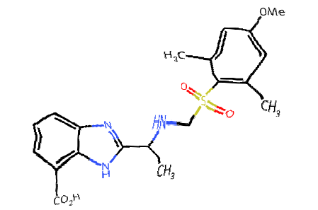 COc1cc(C)c(S(=O)(=O)CNC(C)c2nc3cccc(C(=O)O)c3[nH]2)c(C)c1